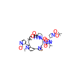 CCn1c(-c2cccnc2[C@H](C)OC)c2c3cc(ccc31)-c1csc(n1)C[C@H](NC(=O)[C@H](C(C)C)N(C)C(=O)[C@@H]1CCN(C(=O)OC(C)(C)C)C1)C(=O)N1CCC[C@H](N1)C(=O)OCC(C)(C)C2